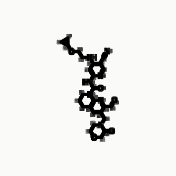 N#Cc1cnc(NC(=O)N2CCCc3cc(CN4CCOCC4=O)c(C=O)nc32)cc1NCCOC1CC1